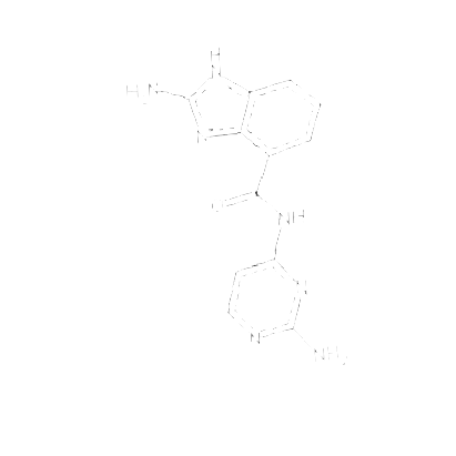 Nc1nccc(NC(=O)c2cccc3[nH]c(N)nc23)n1